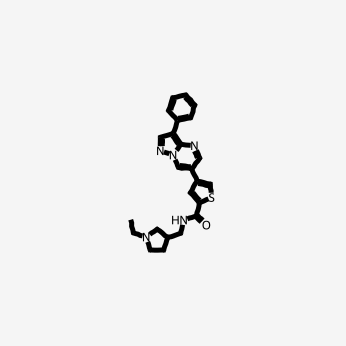 CCN1CCC(CNC(=O)c2cc(-c3cnc4c(-c5ccccc5)cnn4c3)cs2)C1